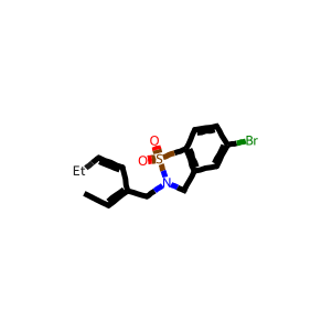 C/C=C(\C=C/CC)CN1Cc2cc(Br)ccc2S1(=O)=O